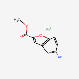 COC(=O)c1cc2cc(N)ccc2o1.Cl